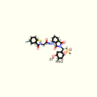 CCOc1cc([C@@H](CS(C)(=O)=O)N2C(=O)c3cccc(NC(=O)Cn4sc5ccc(F)cc5c4=O)c3C2=O)ccc1OC